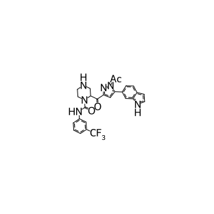 CC(=O)n1nc(C(=O)C2CNCCN2C(=O)Nc2cccc(C(F)(F)F)c2)cc1-c1ccc2cc[nH]c2c1